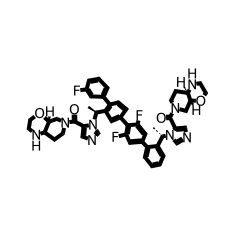 C[C@@H](c1cc(-c2c(F)cc(-c3ccccc3[C@H](C)n3cncc3C(=O)N3CC[C@H]4NCCO[C@@H]4C3)cc2F)ccc1-c1cccc(F)c1)n1cncc1C(=O)N1CCC2NCCO[C@@H]2C1